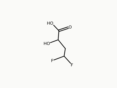 O=C(O)C(O)CC(F)F